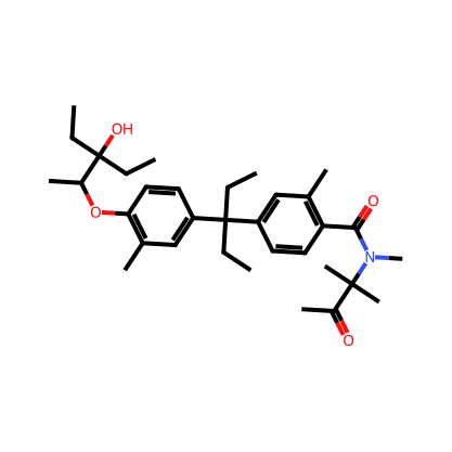 CCC(CC)(c1ccc(OC(C)C(O)(CC)CC)c(C)c1)c1ccc(C(=O)N(C)C(C)(C)C(C)=O)c(C)c1